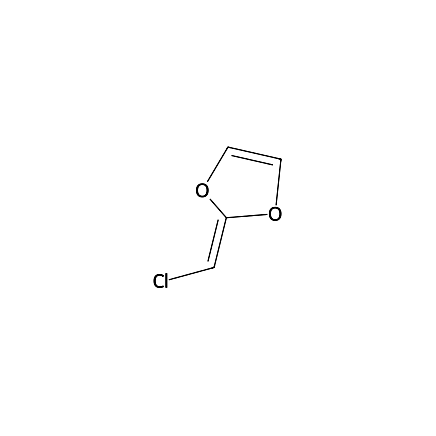 ClC=C1OC=CO1